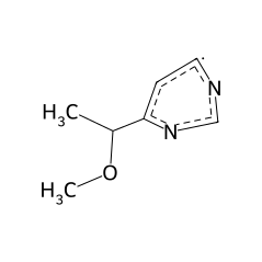 COC(C)c1c[c]ncn1